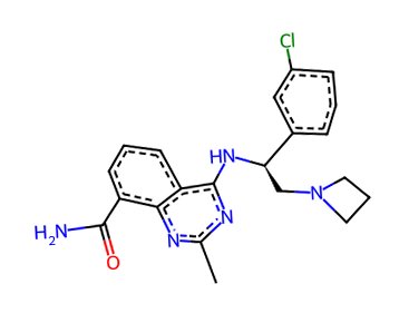 Cc1nc(N[C@H](CN2CCC2)c2cccc(Cl)c2)c2cccc(C(N)=O)c2n1